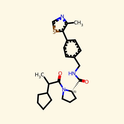 Cc1ncsc1-c1ccc(CNC(=O)[C@@H]2CCCN2C(=O)C(C)C2CCCC2)cc1